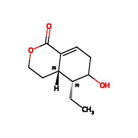 CC[C@H]1C(O)CC=C2C(=O)OCC[C@H]21